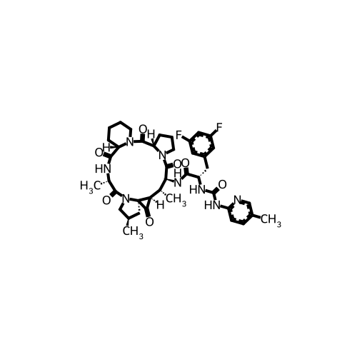 Cc1ccc(NC(=O)N[C@@H](Cc2cc(F)cc(F)c2)C(=O)N[C@@H]2C(=O)N3CCC[C@H]3C(=O)N3CCCC[C@H]3C(=O)N[C@@H](C)C(=O)N3C[C@H](C)C[C@]34C(=O)[C@@H]4[C@H]2C)nc1